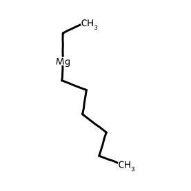 CCCCC[CH2][Mg][CH2]C